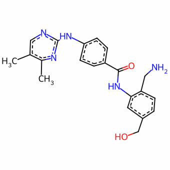 Cc1cnc(Nc2ccc(C(=O)Nc3cc(CO)ccc3CN)cc2)nc1C